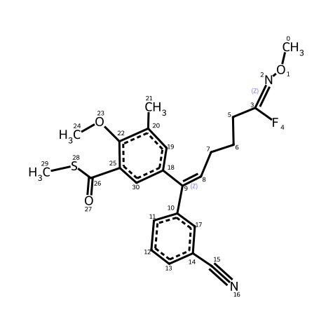 CO/N=C(\F)CCC/C=C(/c1cccc(C#N)c1)c1cc(C)c(OC)c(C(=O)SC)c1